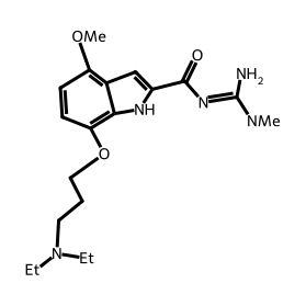 CCN(CC)CCCOc1ccc(OC)c2cc(C(=O)N=C(N)NC)[nH]c12